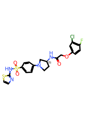 O=C(COc1ccc(F)c(Cl)c1)N[C@H]1CCN(c2ccc(S(=O)(=O)Nc3nccs3)cc2)C1